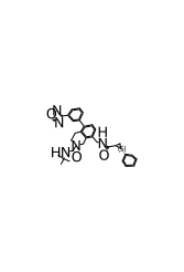 CC(C)(C)NC(=O)N1CCc2c(-c3cccc(-c4ncon4)c3)ccc(CNC(=O)C3C[C@@H]3c3ccccc3)c2C1